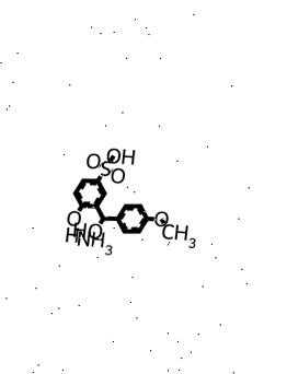 COc1ccc(C(O)c2cc(S(=O)(=O)O)ccc2O)cc1.N